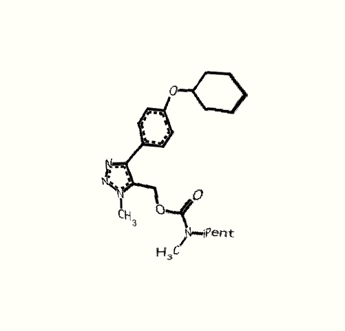 CCCC(C)N(C)C(=O)OCc1c(-c2ccc(OC3CCCCC3)cc2)nnn1C